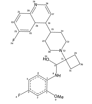 COc1cc(F)ccc1NC(O)C1(N2CCC(C3C=CN=C4C=CC(F)=CC43)CC2)CCC1